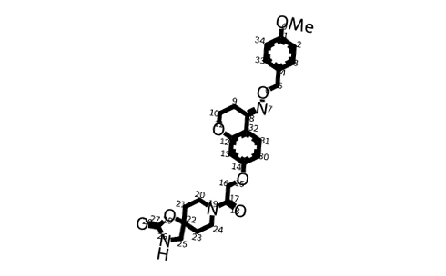 COc1ccc(CO/N=C2\CCOc3cc(OCC(=O)N4CCC5(CC4)CNC(=O)O5)ccc32)cc1